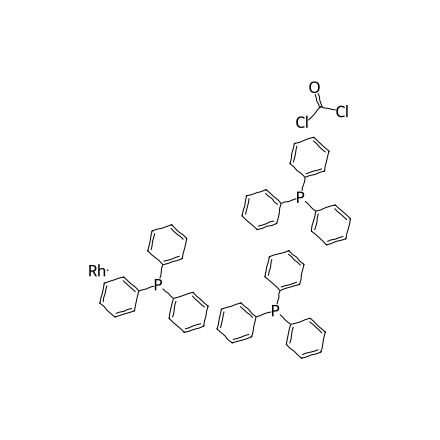 O=C(Cl)Cl.[Rh].c1ccc(P(c2ccccc2)c2ccccc2)cc1.c1ccc(P(c2ccccc2)c2ccccc2)cc1.c1ccc(P(c2ccccc2)c2ccccc2)cc1